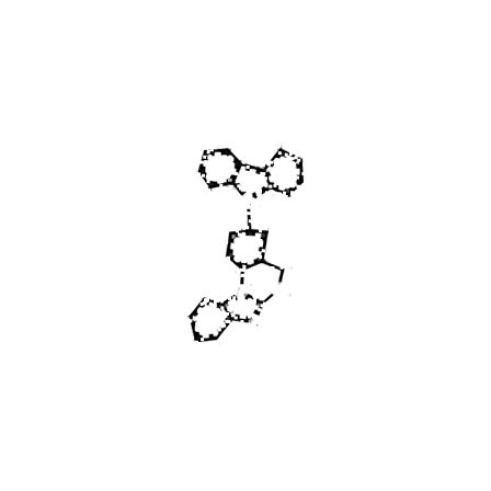 c1ccc2c(c1)nc1n2-c2ccc(-n3c4ccccc4c4ccccc43)cc2CS1